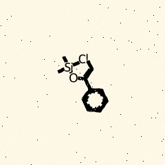 C[Si](C)(C)OC(=CCl)c1ccccc1